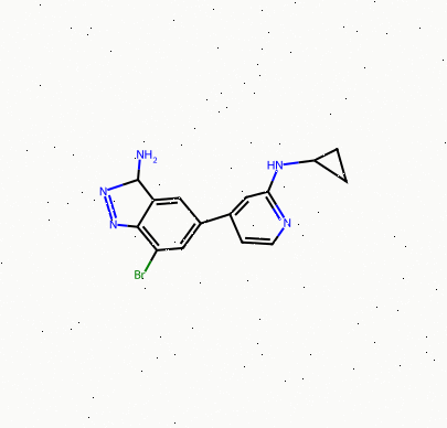 NC1N=Nc2c(Br)cc(-c3ccnc(NC4CC4)c3)cc21